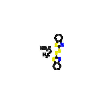 C=CC(=O)O.c1ccc2sc(SSc3nc4ccccc4s3)nc2c1